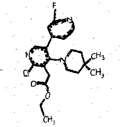 CCOC(=O)Cc1c(Cl)ncc(-c2ccnc(F)c2)c1N1CCC(C)(C)CC1